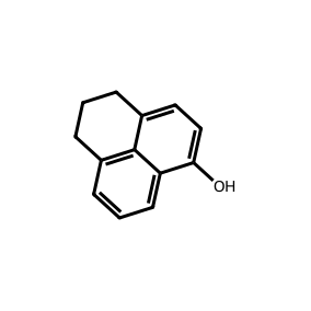 Oc1ccc2c3c(cccc13)CCC2